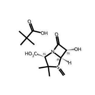 C=S1[C@@H]2[C@@H](O)C(=O)N2[C@@H](C(=O)O)C1(C)C.CC(C)(C)C(=O)O